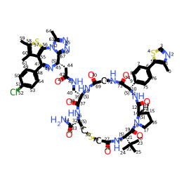 Cc1ncsc1-c1ccc([C@@H]2NC(=O)[C@@H]3CCCN3C(=O)[C@H](C(C)(C)C)NC(=O)CSC[C@H](C(N)=O)NC(=O)[C@H](CNC(=O)C[C@@H]3N=C(c4ccc(Cl)cc4)c4c(sc(C)c4C)-n4c(C)nnc43)NC(=O)CNC2=O)cc1